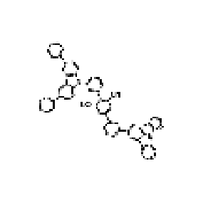 N#Cc1cc(-c2cccc(-c3cc4c5ccccc5n5c6sccc6c(c3)c45)c2)cc(C#N)c1-c1cccc(-n2c3ccc(-c4ccccc4)cc3c3cc(-c4ccccc4)ccc32)c1